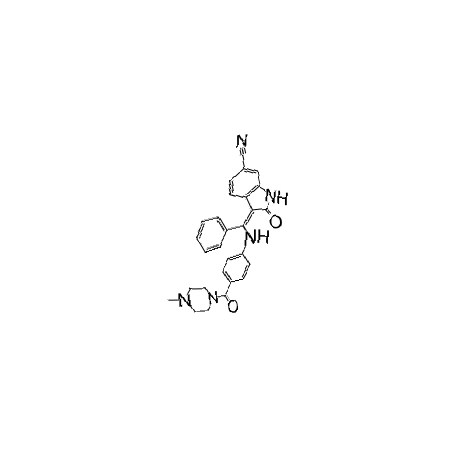 CN1CCN(C(=O)c2ccc(N/C(=C3\C(=O)Nc4cc(C#N)ccc43)c3ccccc3)cc2)CC1